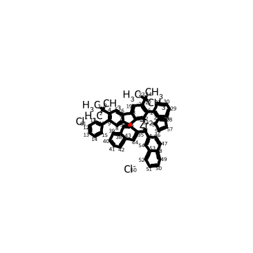 CC(C)(C)c1cc2c(cc1-c1ccccc1)Cc1c-2cc(C(C)(C)C)c(-c2ccccc2)[c]1[Zr+2](=[C](c1ccc2ccccc2c1)c1ccc2ccccc2c1)[CH]1C=CC=C1.[Cl-].[Cl-]